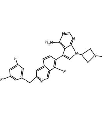 CN1CC(n2cc(-c3ccc4cc(Cc5cc(F)cc(F)c5)ncc4c3F)c3c(N)ncnc32)C1